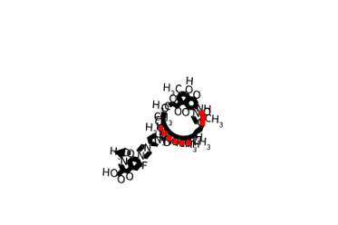 COc1c(N2CCN(C3CCN(C(=O)O[C@H]4[C@H](C)[C@H](O)[C@H](C)[C@@H](O)[C@@H](C)/C=C/C=C(/C)C(=O)NC5=C(N6CCOCC6)C(=O)c6c(c(O)c(C)c7c6C(=O)[C@@](C)(O/C=C/[C@H](OC)[C@H]4C)O7)C5=O)C3)CC2)c(F)cc2c(=O)c(C(=O)O)cn(C3CC3)c12